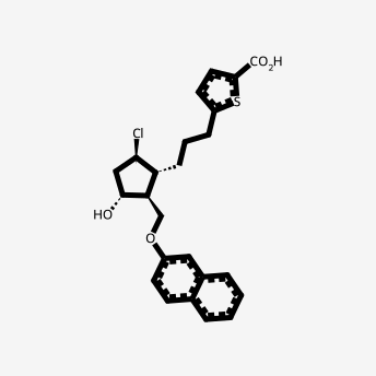 O=C(O)c1ccc(CCC[C@@H]2[C@@H](COc3ccc4ccccc4c3)[C@H](O)C[C@H]2Cl)s1